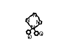 COc1cccc(C2=C(c3cccc(OC)c3)C3=NC2=CC2=NC(=CC4=NC(=CC5=NC(=C3)C=C5)C=C4)C=C2)c1